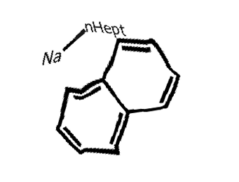 CCCCCC[CH2][Na].c1ccc2ccccc2c1